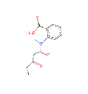 CCC(=O)CC(=O)N(C)c1ccccc1C(=O)O